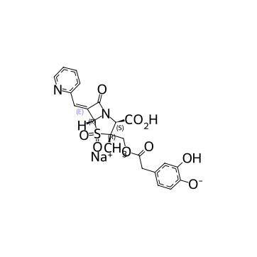 C[C@]1(COC(=O)Cc2ccc([O-])c(O)c2)[C@H](C(=O)O)N2C(=O)/C(=C\c3ccccn3)[C@H]2S1(=O)=O.[Na+]